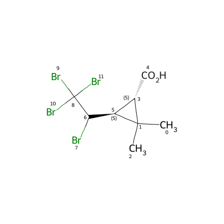 CC1(C)[C@@H](C(=O)O)[C@@H]1C(Br)C(Br)(Br)Br